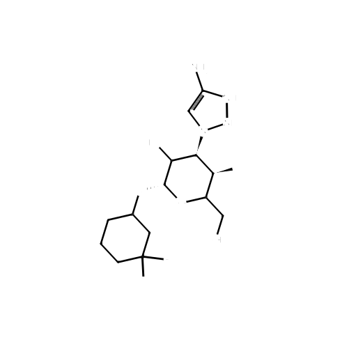 NC1=CN([C@@H]2C(O)[C@@H](SC3CCCC(F)(F)C3)OC(CO)[C@@H]2O)NN1